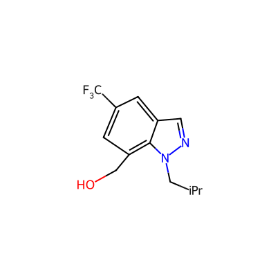 CC(C)Cn1ncc2cc(C(F)(F)F)cc(CO)c21